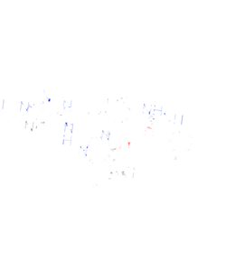 Cc1ccccc1NC(=O)Nc1cccc(-n2c(C(C)Nc3ncnc(N)c3C#N)nc3cccc(Cl)c3c2=O)c1